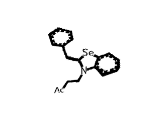 CC(=O)CCN1c2ccccc2[Se]C1Cc1ccccc1